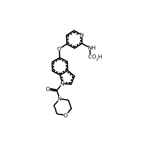 O=C(O)Nc1cc(Oc2ccc3c(ccn3C(=O)N3CCOCC3)c2)ccn1